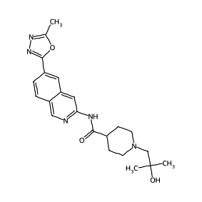 Cc1nnc(-c2ccc3cnc(NC(=O)C4CCN(CC(C)(C)O)CC4)cc3c2)o1